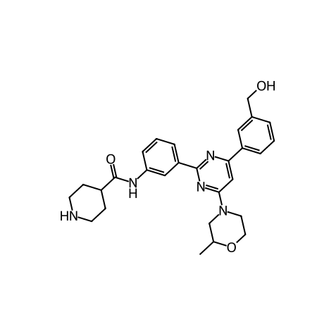 CC1CN(c2cc(-c3cccc(CO)c3)nc(-c3cccc(NC(=O)C4CCNCC4)c3)n2)CCO1